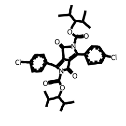 CC(C)C(OC(=O)N1C(=O)C2=C(c3ccc(Cl)cc3)N(C(=O)OC(C(C)C)C(C)C)C(=O)C2=C1c1ccc(Cl)cc1)C(C)C